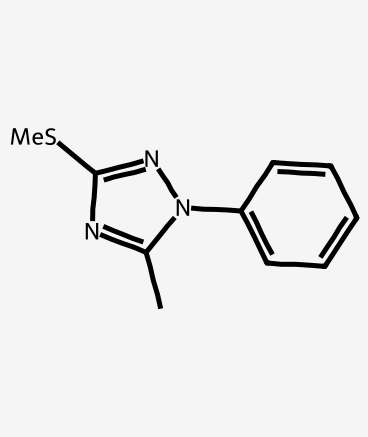 CSc1nc(C)n(-c2ccccc2)n1